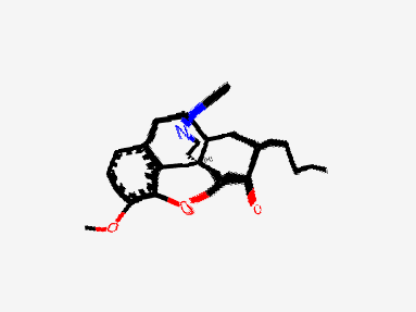 CCCC1CC2C3Cc4ccc(OC)c5c4[C@]2(CCN3C)C(O5)C1=O